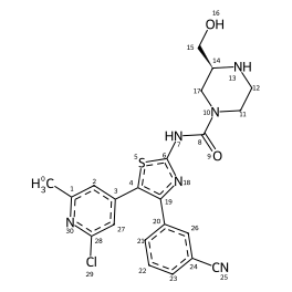 Cc1cc(-c2sc(NC(=O)N3CCN[C@H](CO)C3)nc2-c2cccc(C#N)c2)cc(Cl)n1